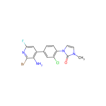 Cn1ccn(-c2ccc(-c3cc(F)nc(Br)c3N)cc2Cl)c1=O